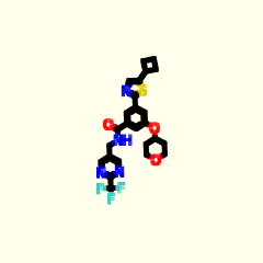 O=C(NCc1cnc(C(F)(F)F)nc1)c1cc(OC2CCOCC2)cc(-c2ncc(C3CCC3)s2)c1